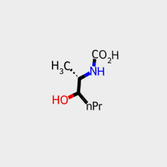 CCCC(O)[C@H](C)NC(=O)O